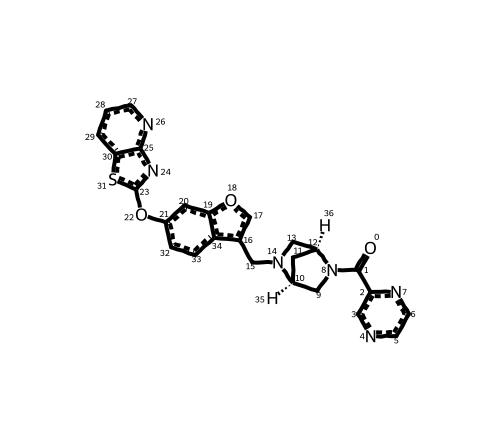 O=C(c1cnccn1)N1C[C@@H]2C[C@H]1CN2Cc1coc2cc(Oc3nc4ncccc4s3)ccc12